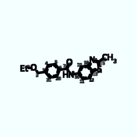 CCOCc1ccc(C(=O)Nc2ccc3sc(C)nc3c2)cc1